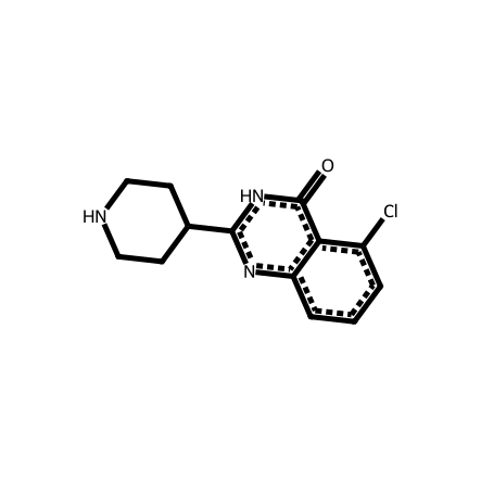 O=c1[nH]c(C2CCNCC2)nc2cccc(Cl)c12